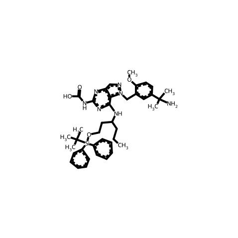 CCCC(CCO[Si](c1ccccc1)(c1ccccc1)C(C)(C)C)Nc1nc(NC(=O)O)nc2cnn(Cc3cc(C(C)(C)N)ccc3OC)c12